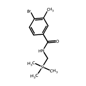 Cc1cc(C(=O)NC[Si](C)(C)C)ccc1Br